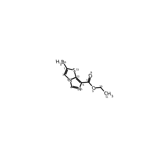 Bc1cn2cnc(C(=O)OCC)c2s1